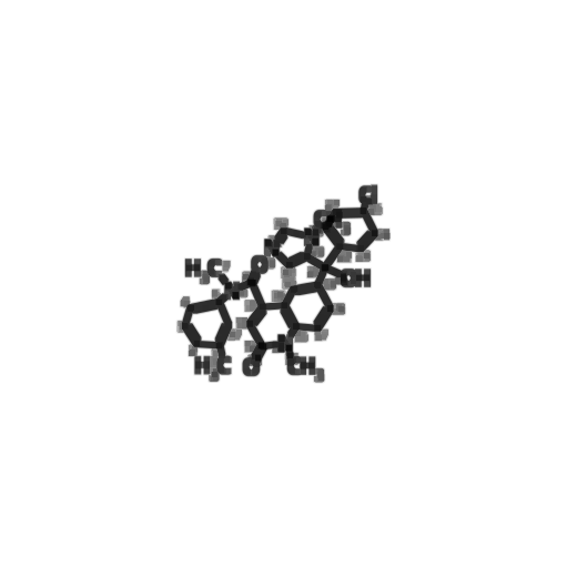 Cc1cccc(N(C)C(=O)c2cc(=O)n(C)c3ccc(C(O)(c4ccc(Cl)cc4)c4cncn4C)cc23)c1